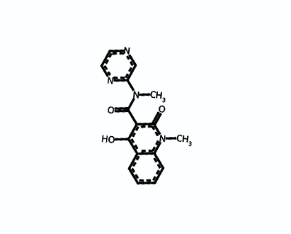 CN(C(=O)c1c(O)c2ccccc2n(C)c1=O)c1cnccn1